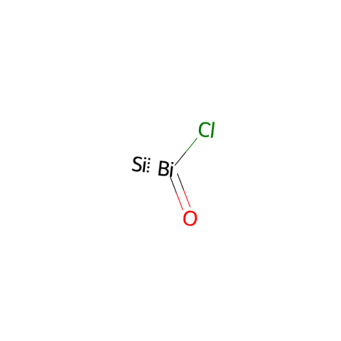 [O]=[Bi][Cl].[Si]